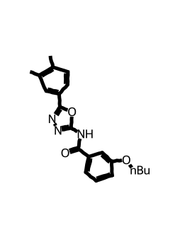 CCCCOc1cccc(C(=O)Nc2nnc(-c3ccc(C)c(C)c3)o2)c1